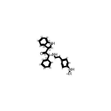 CCNc1ccc(CCN[C@@H](C(=O)c2c[nH]c3ccccc23)c2ccccc2)cc1